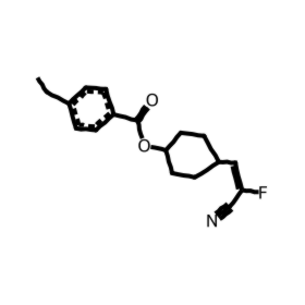 CCc1ccc(C(=O)OC2CCC(/C=C(/F)C#N)CC2)cc1